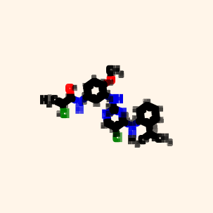 C=C(Cl)C(=O)Nc1ccc(OC)c(Nc2ncc(Cl)c(Nc3ccccc3C(C)C)n2)c1